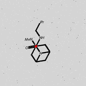 CNN1CC2CC(C1)N2C(=O)NCC(C)C